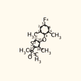 Cc1cc(F)cc(C)c1Oc1csc(P(C)(C)=O)c1C